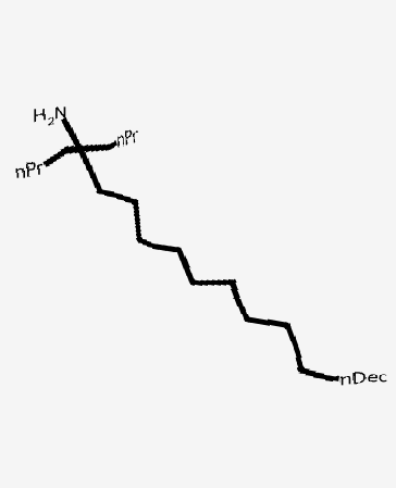 CCCCCCCCCCCCCCCCCCCC(N)(CCC)CCC